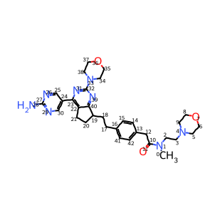 CN(CCN1CCOCC1)C(=O)Cc1ccc(CCC2CCc3c(-c4cnc(N)nc4)nc(N4CCOCC4)nc32)cc1